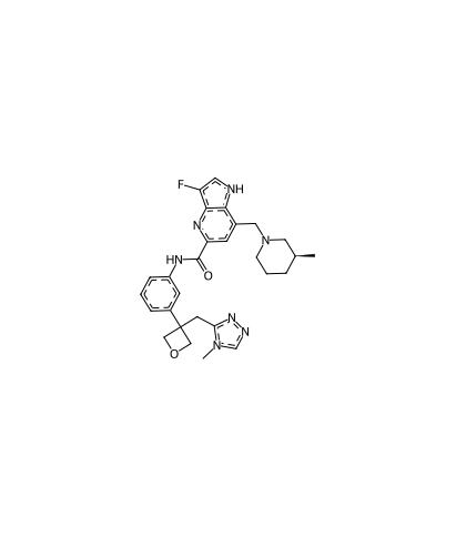 C[C@H]1CCCN(Cc2cc(C(=O)Nc3cccc(C4(Cc5nncn5C)COC4)c3)nc3c(F)c[nH]c23)C1